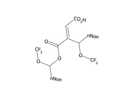 CCCCCCCCCC(OC(=O)C(=CC(=O)O)C(CCCCCCCCC)OC(F)(F)F)OC(F)(F)F